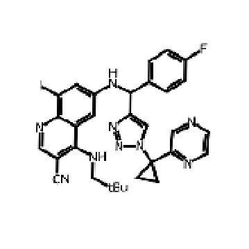 CC(C)(C)CNc1c(C#N)cnc2c(I)cc(NC(c3ccc(F)cc3)c3cn(C4(c5cnccn5)CC4)nn3)cc12